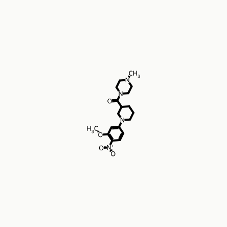 COc1cc(N2CCCC(C(=O)N3CCN(C)CC3)C2)ccc1[N+](=O)[O-]